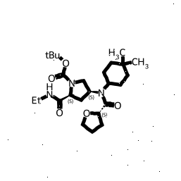 CCNC(=O)[C@@H]1C[C@H](N(C(=O)[C@@H]2CCCO2)C2CCC(C)(C)CC2)CN1C(=O)OC(C)(C)C